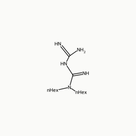 CCCCCCN(CCCCCC)C(=N)NC(=N)N